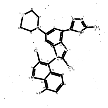 Cc1nnc(-c2cc(N3CCOCC3)cc3c2nc(C)n3-c2c(Cl)cnc3c(F)cccc23)[nH]1